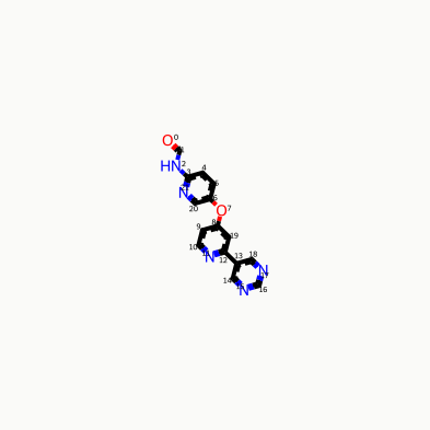 O=[C]Nc1ccc(Oc2ccnc(-c3cncnc3)c2)cn1